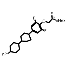 CCCCCC[C@H](F)COc1c(F)cc(C2CCC(C3CCC(CCC)CC3)CC2)cc1F